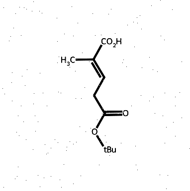 CC(=CCC(=O)OC(C)(C)C)C(=O)O